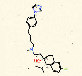 CC(C)[C@H]1c2ccc(F)cc2CC[C@]1(O)CCN(C)CCCCc1ccc(-n2ccnc2)cc1